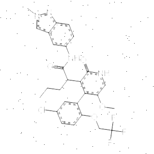 CCCC(C(=O)Nc1ccc2nn(C)cc2c1)c1c(-c2cc(Cl)ccc2OCC(F)(F)F)c(OC)c[nH]c1=O